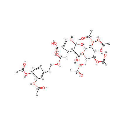 CC(=O)OC[C@@H]1O[C@H](O[C@H]2OC=C(C(=O)O)[C@@H](CC(=O)OCCc3ccc(OC(C)=O)c(OC(C)=O)c3)/C2=C\O)[C@@H](OC(C)=O)[C@H](OC(C)=O)[C@H]1OC(C)=O